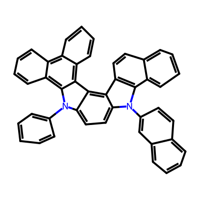 c1ccc(-n2c3ccc4c(c5ccc6ccccc6c5n4-c4ccc5ccccc5c4)c3c3c4ccccc4c4ccccc4c32)cc1